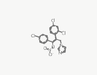 O=[N+]([O-])O/C(=C(\Cn1ccnc1)c1ccc(Cl)cc1Cl)c1ccc(Cl)cc1